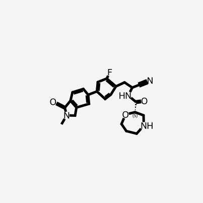 CN1Cc2cc(-c3ccc(CC(C#N)NC(=O)[C@@H]4CNCCCO4)c(F)c3)ccc2C1=O